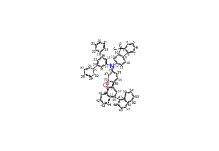 CC1(C)c2ccccc2-c2ccc(N(c3cc(-c4ccccc4)cc(C4C=CC=CC4)c3)c3ccc4c(c3)oc3c5ccccc5c(-c5cccc6ccccc56)cc43)cc21